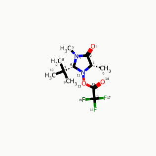 C[C@H]1C(=O)N(C)[C@@H](C(C)(C)C)N1OC(=O)C(F)(F)F